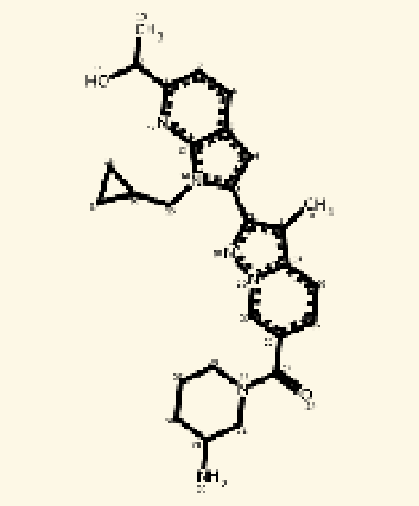 Cc1c(-c2cc3ccc(C(C)O)nc3n2CC2CC2)nn2cc(C(=O)N3CCCC(N)C3)ccc12